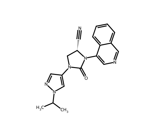 CC(C)n1cc(N2C[C@H](C#N)N(c3cncc4ccccc34)C2=O)cn1